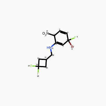 O=[N+]([O-])C1C=CC(F)(Br)C=C1NCC1CC(F)(F)C1